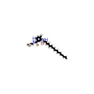 CCCCCCCCCCCCCCCCC(=O)Nc1cc(C(=S)NCCSC)ccc1C